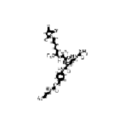 CC(=O)CCCNC(=O)OCc1ccc(NC(=O)C(CCCNC(N)=O)NC(=O)C(NC(CCCCCN2C(=O)CC(C)C2=O)C(F)(F)F)C(C)C)cc1